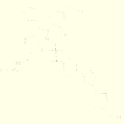 CNNC(=O)c1ccc2c(C3CCCCC3)c(C3=C(C)C=C(OC)CC3)n(CC(C)(C)C(=O)N3CCC(n4cc(-c5ccc(OC)cc5)cn4)CC3)c2c1